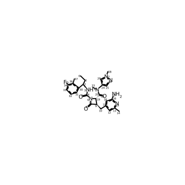 CCC(NC(=O)N1C(=O)[C@H](Cc2cc(C)nc(N)c2)[C@H]1C(=O)N(C)c1cnn(C)c1)c1cccc(F)c1C